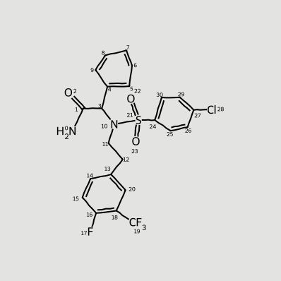 NC(=O)C(c1ccccc1)N(CCc1ccc(F)c(C(F)(F)F)c1)S(=O)(=O)c1ccc(Cl)cc1